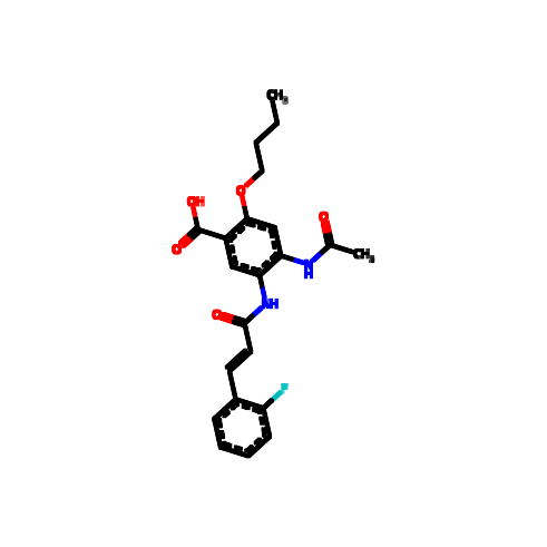 CCCCOc1cc(NC(C)=O)c(NC(=O)C=Cc2ccccc2F)cc1C(=O)O